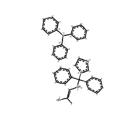 CCCC(C)=C[SiH2]C(c1ccccc1)(c1ccccc1)n1ccnc1.c1ccc(B(c2ccccc2)c2ccccc2)cc1